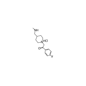 CNCC1CCN(CC(=O)c2ccc(F)cc2)CC1.Cl